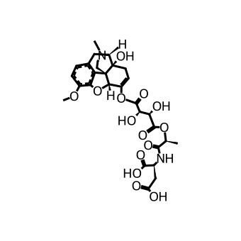 COc1ccc2c3c1O[C@H]1C(OC(=O)[C@H](O)[C@@H](O)C(=O)O[C@@H](C)C(=O)N[C@@H](CC(=O)O)C(=O)O)=CC[C@@]4(O)[C@@H](C2)N(C)CC[C@]314